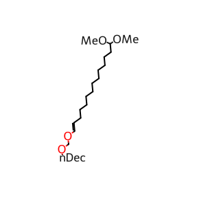 CCCCCCCCCCOCOC=CCCCCCCCCCCCC(OC)OC